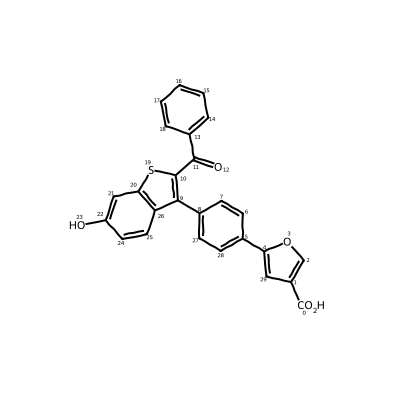 O=C(O)c1coc(-c2ccc(-c3c(C(=O)c4ccccc4)sc4cc(O)ccc34)cc2)c1